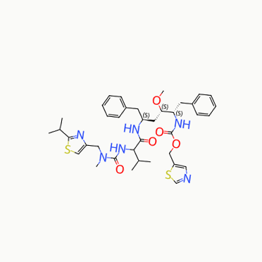 CO[C@@H](C[C@H](Cc1ccccc1)NC(=O)C(NC(=O)N(C)Cc1csc(C(C)C)n1)C(C)C)[C@H](Cc1ccccc1)NC(=O)OCc1cncs1